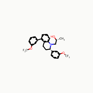 C[C@@H](O)CN1c2cccc(-c3cccc(OC(F)(F)F)c3)c2CC[C@H]1c1cccc(OC(F)(F)F)c1